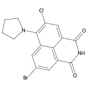 O=C1NC(=O)c2cc(Cl)c(N3CCCC3)c3cc(Br)cc1c23